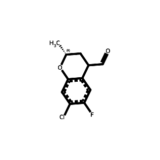 C[C@@H]1CC(C=O)c2cc(F)c(Cl)cc2O1